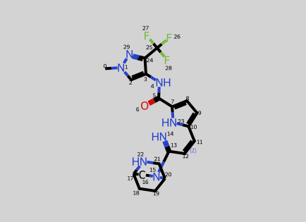 Cn1cc(NC(=O)c2ccc(/C=C\C(=N)N3CC4CCC3CN4)[nH]2)c(C(F)(F)F)n1